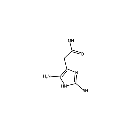 Nc1[nH]c(S)nc1CC(=O)O